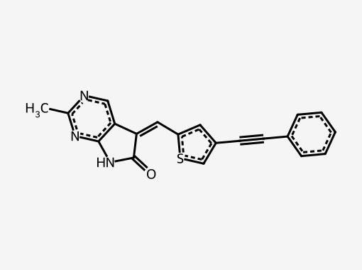 Cc1ncc2c(n1)NC(=O)C2=Cc1cc(C#Cc2ccccc2)cs1